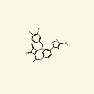 CN(Cc1ccc(-c2noc(C(F)(F)F)n2)cc1)c1c(NCc2ccc(F)c(F)c2)c(=O)c1=O